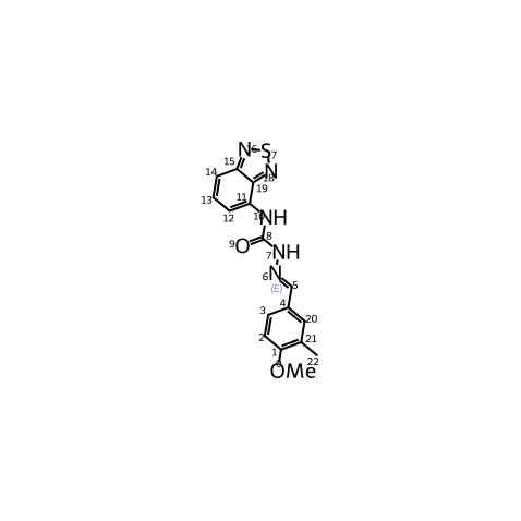 COc1ccc(/C=N/NC(=O)Nc2cccc3nsnc23)cc1C